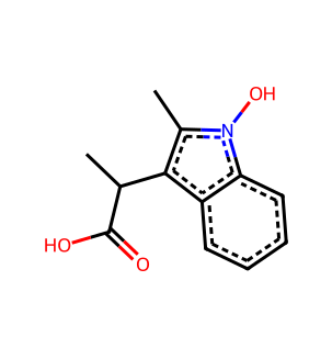 Cc1c(C(C)C(=O)O)c2ccccc2n1O